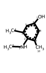 CNc1c(C)cc(O)cc1C